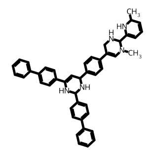 CC1C=CC=C(C2NCC(c3ccc(C4C=C(c5ccc(-c6ccccc6)cc5)NC(c5ccc(-c6ccccc6)cc5)N4)cc3)=CN2C)N1